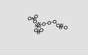 c1ccc(-c2nc3cc(-c4cccc(-c5ccc(-c6ccc(-c7nc(-c8ccc9c(c8)c8ccccc8n9-c8ccccc8)nc(-c8cccc9oc%10ccccc%10c89)n7)cc6)cc5)c4)ccc3o2)cc1